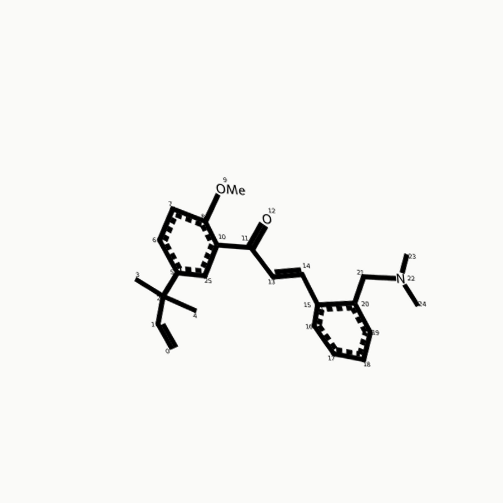 C=CC(C)(C)c1ccc(OC)c(C(=O)C=Cc2ccccc2CN(C)C)c1